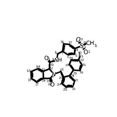 CS(=O)(=O)c1ccc(CNC(=O)C2c3ccccc3C(=O)N2Cc2ccccc2-c2ccc(F)cc2)cc1